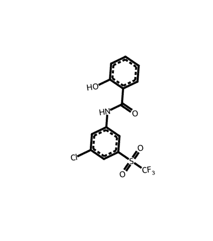 O=C(Nc1cc(Cl)cc(S(=O)(=O)C(F)(F)F)c1)c1ccccc1O